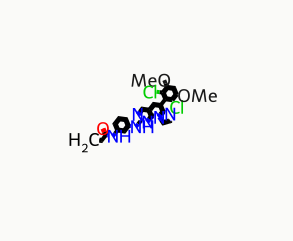 C=CC(=O)Nc1cccc(Nc2ncc3cc(-c4c(Cl)c(OC)cc(OC)c4Cl)c4nccn4c3n2)c1